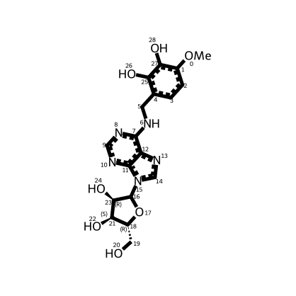 COc1ccc(CNc2ncnc3c2ncn3C2O[C@H](CO)[C@@H](O)[C@H]2O)c(O)c1O